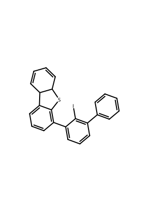 Ic1c(-c2ccccc2)cccc1-c1cccc2c1SC1C=CC=CC21